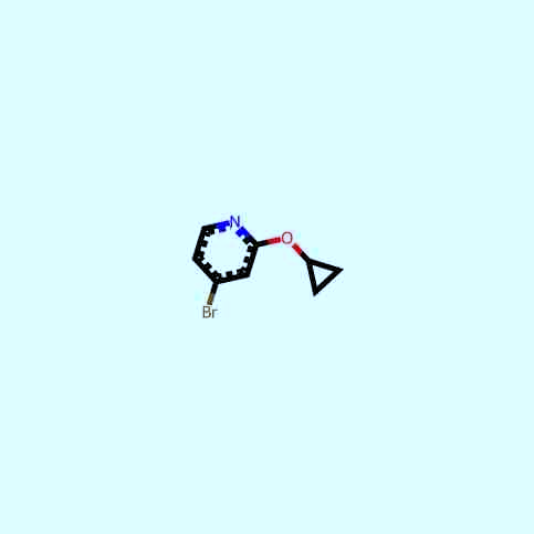 Brc1ccnc(OC2CC2)c1